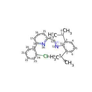 CC(C)c1cccc(C(C)C)c1/N=C/c1cccc(-c2ccccc2Cl)n1